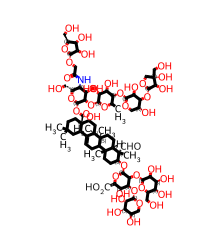 CC1O[C@@H](OC2C(O)[C@@H](NC(=O)CO[C@@H]3O[C@@H](CO)C(O)C3O)[C@@H](CO)O[C@H]2OC(=O)[C@]23CCC(C)(C)CC2C2=CCC4C5(C)CC[C@H](O[C@@H]6OC(C(=O)O)[C@@H](O)[C@H](O[C@@H]7OC[C@@H](O)[C@H](O)C7O)C6O[C@@H]6OC(CO)[C@H](O)[C@H](O)C6O)[C@](C)(C=O)[C@@H]5CC[C@]4(C)[C@]2(C)CC3O)C(O)C(O)[C@H]1O[C@@H]1OC[C@@H](O)C(O[C@@H]2OC[C@@](O)(CO)C2O)C1O